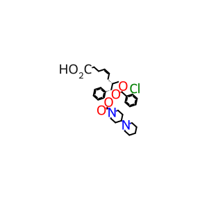 O=C(O)CC/C=C\C[C@@H]1COC(c2ccccc2Cl)O[C@@H]1c1ccccc1OC(=O)N1CCC(N2CCCCC2)CC1